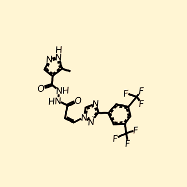 Cc1[nH]ncc1C(=O)NNC(=O)/C=C\n1cnc(-c2cc(C(F)(F)F)cc(C(F)(F)F)c2)n1